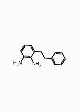 Nc1cccc(CCc2ccccc2)c1N